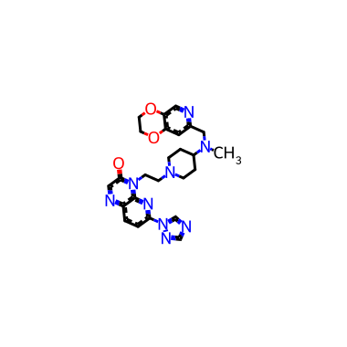 CN(Cc1cc2c(cn1)OCCO2)C1CCN(CCn2c(=O)cnc3ccc(-n4cncn4)nc32)CC1